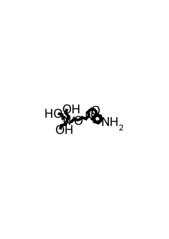 Nc1ccc2c(c1)OCCN2CCOCC[N+](CCO)(CCO)CCO